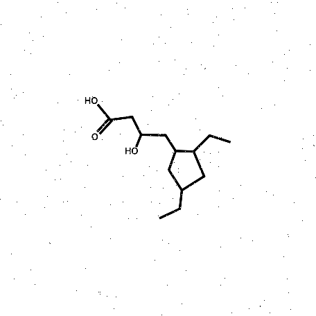 CCC1CC(CC)C(CC(O)CC(=O)O)C1